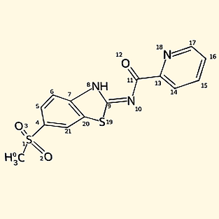 CS(=O)(=O)c1ccc2[nH]/c(=N\C(=O)c3ccccn3)sc2c1